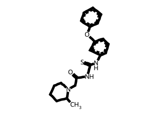 CC1CCCCN1CC(=O)NC(=S)Nc1cccc(Oc2ccccc2)c1